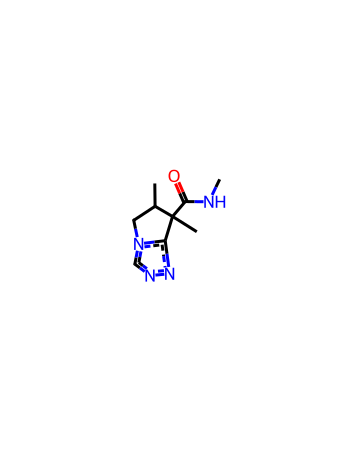 CNC(=O)C1(C)c2nncn2CC1C